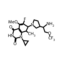 COC1=C(F)C(N2CCC(C(N)COC(F)(F)F)C2)C(C)c2c1c(=O)[nH]c(=O)n2C1CC1